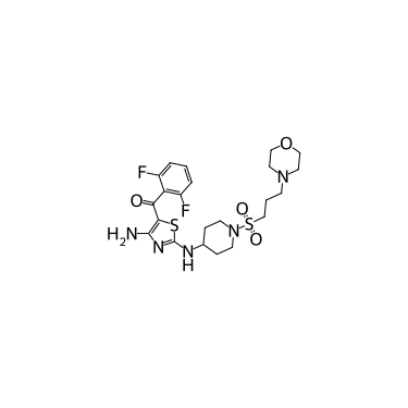 Nc1nc(NC2CCN(S(=O)(=O)CCCN3CCOCC3)CC2)sc1C(=O)c1c(F)cccc1F